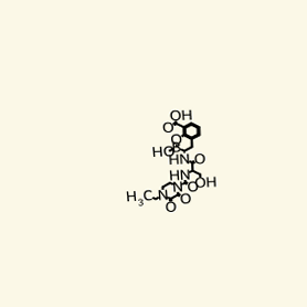 CCN1CCN(C(=O)NC(CO)C(=O)N[C@H]2Cc3cccc(C(=O)O)c3OB2O)C(=O)C1=O